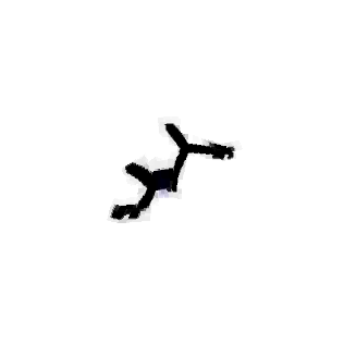 C/C(=N\C(C)C(C)C)C(C)C